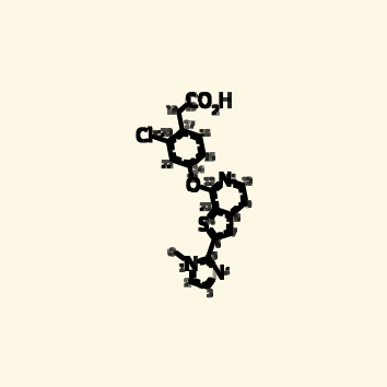 Cn1ccnc1-c1cc2ccnc(Oc3ccc(CC(=O)O)c(Cl)c3)c2s1